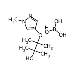 Cn1cc(OC(C)(C)C(C)(C)O)cn1.OB(O)O